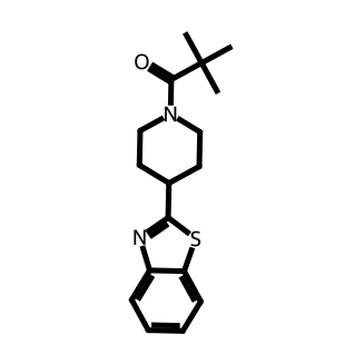 CC(C)(C)C(=O)N1CCC(c2nc3ccccc3s2)CC1